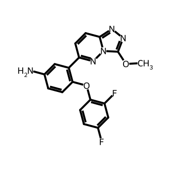 COc1nnc2ccc(-c3cc(N)ccc3Oc3ccc(F)cc3F)nn12